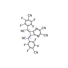 N#C/C(=C1\C(=C(/C#N)c2c(F)c(F)c(C#N)c(F)c2F)c2nc(C#N)c(C#N)nc21)c1c(F)c(F)c(C#N)c(F)c1F